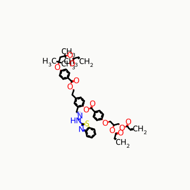 C=CC(=O)OCC(COc1ccc(C(=O)Oc2ccc(CCOC(=O)c3ccc(OC(C)(C)CC(C)(C)OC(=O)C=C)cc3)cc2/C=N/Nc2nc3ccccc3s2)cc1)OC(=O)C=C